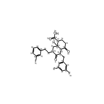 O=C1[C@H](Cc2cc(F)cc(F)c2)N2C(=O)CCN(C(=O)O)[C@H]2CN1CCc1cccc(F)c1